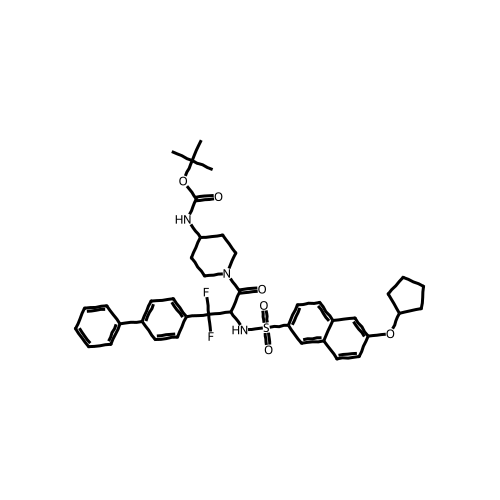 CC(C)(C)OC(=O)NC1CCN(C(=O)C(NS(=O)(=O)c2ccc3cc(OC4CCCC4)ccc3c2)C(F)(F)c2ccc(-c3ccccc3)cc2)CC1